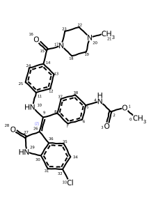 COC(=O)Nc1ccc(/C(Nc2ccc(C(=O)N3CCN(C)CC3)cc2)=C2/C(=O)Nc3cc(Cl)ccc32)cc1